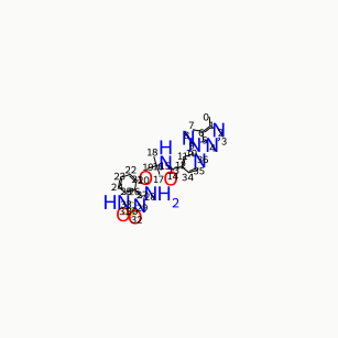 Cc1ncnc2c1cnn2-c1cc(C(=O)NC(C)(C)COc2cccc3c2C(N)=NS(=O)(=O)N3)ccn1